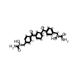 NC(=O)N(O)Cc1ccc(C(=O)c2cccc(C(=O)c3ccc(CN(O)C(N)=O)cc3)c2)cc1